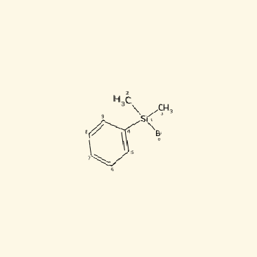 [B][Si](C)(C)c1ccccc1